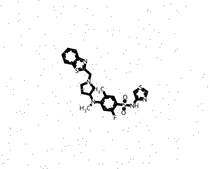 Cc1cc(S(=O)(=O)Nc2cscn2)c(F)cc1N(C)C1CCN(Cc2nc3ccccc3s2)C1